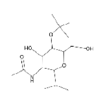 CC(=O)NC1C(O)C(OC(C)(C)C)C(CO)OC1C(C)C